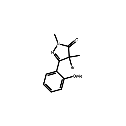 COc1ccccc1C1=NN(C)C(=O)C1(C)Br